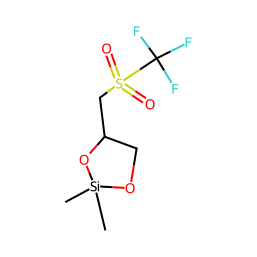 C[Si]1(C)OCC(CS(=O)(=O)C(F)(F)F)O1